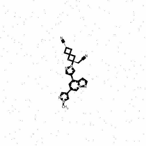 Cn1cc(-c2cc(-c3cnn([C@]4(CC#N)CC5(C[C@H](C#N)C5)C4)c3)c3ccnn3c2)cn1